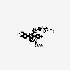 C=CC(=O)NC1CC(n2cc(-c3nc(-c4ccc5c(c4)CCNC5)c4ccsc4c3-c3ccc(F)cc3OCCOC)cn2)C1